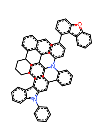 c1ccc(-n2c3ccccc3c3ccc(-c4ccccc4N(c4ccc(-c5cccc6oc7ccccc7c56)cc4)c4ccccc4-c4cccc5cccc(C6CCCCC6)c45)cc32)cc1